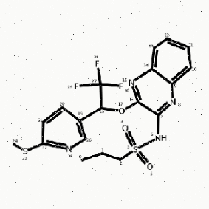 CCCS(=O)(=O)Nc1nc2ccccc2nc1OC(c1ccc(SC)nc1)C(F)(F)F